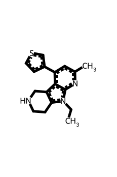 CCn1c2c(c3c(-c4ccsc4)cc(C)nc31)CNCC2